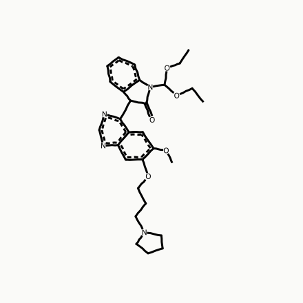 CCOC(OCC)N1C(=O)C(c2ncnc3cc(OCCCN4CCCC4)c(OC)cc23)c2ccccc21